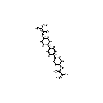 CCC[C@H](F)C(=O)OC1CCC(c2ccc(C3CCC(OC(=O)[C@@H](F)CCC)CC3)cc2)CC1